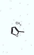 C.Cc1ccco1